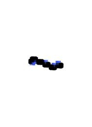 c1ccc2ncc(-c3ccc4ccc(-c5ccc6nc(-c7ccc8cc(-c9ccc%10ccc%11cccnc%11c%10n9)ccc8c7)ccc6c5)cc4n3)cc2c1